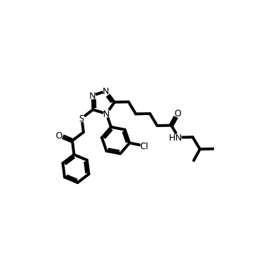 CC(C)CNC(=O)CCCCc1nnc(SCC(=O)c2ccccc2)n1-c1cccc(Cl)c1